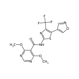 COc1ncnc(OC)c1C(=O)Nc1nc(C(F)(F)F)c(-c2cnoc2)s1